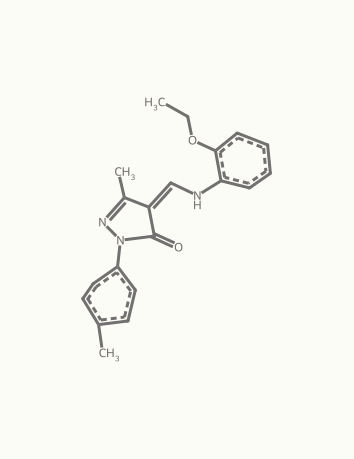 CCOc1ccccc1NC=C1C(=O)N(c2ccc(C)cc2)N=C1C